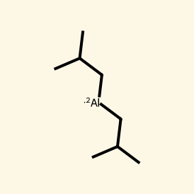 CC(C)[CH2][2Al][CH2]C(C)C